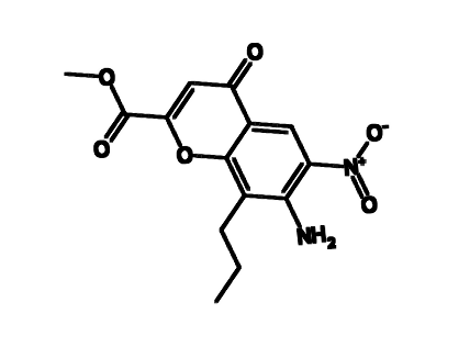 CCCc1c(N)c([N+](=O)[O-])cc2c(=O)cc(C(=O)OC)oc12